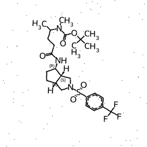 CC(CCC(=O)N[C@@H]1CC[C@H]2CN(S(=O)(=O)c3ccc(C(F)(F)F)cc3)C[C@H]21)N(C)C(=O)OC(C)(C)C